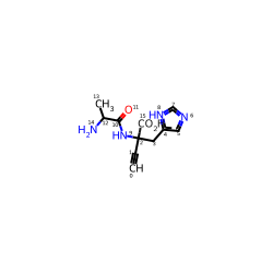 C#CC(Cc1cnc[nH]1)(NC(=O)C(C)N)C(=O)O